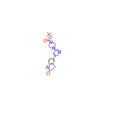 CN1C(=O)CCc2cc(-c3cncc(N4CCN(C(=O)OC(C)(C)C)CC4)c3)ccc21